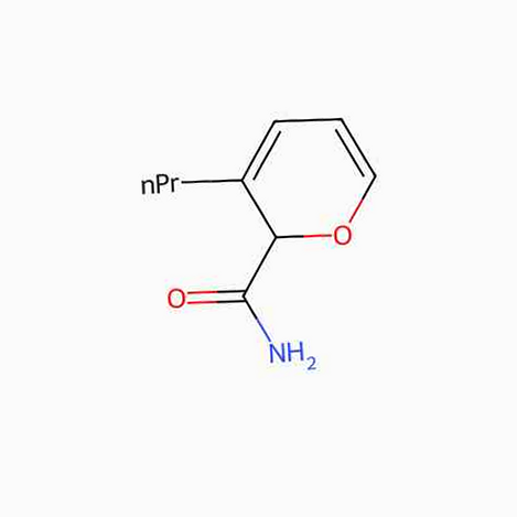 CCCC1=CC=COC1C(N)=O